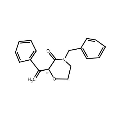 C=C(c1ccccc1)[C@@H]1OCCN(Cc2ccccc2)C1=O